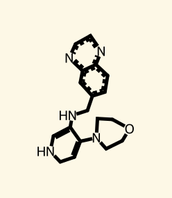 C1=C(NCc2ccc3nccnc3c2)C(N2CCOCC2)=CCN1